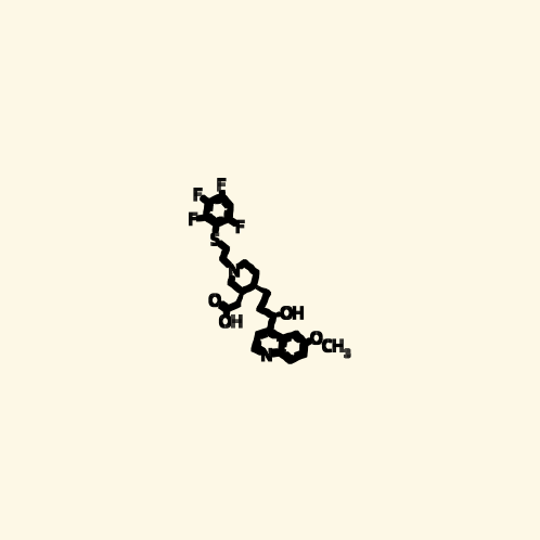 COc1ccc2nccc([C@H](O)CC[C@@H]3CCN(CCSc4c(F)cc(F)c(F)c4F)C[C@@H]3CC(=O)O)c2c1